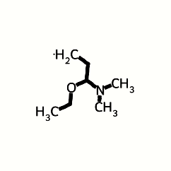 [CH2]CC(OCC)N(C)C